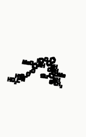 COc1cc(Nc2cc(Oc3ccc(NC(=O)Nc4cc(C(C)(C)C)cc(N[S+](C)[O-])c4OC)c4ccccc34)ccn2)cc(OCCOCC2=NC(C(=O)O)NO2)c1